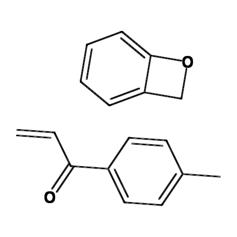 C=CC(=O)c1ccc(C)cc1.c1ccc2c(c1)CO2